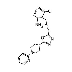 Nc1cccc(Cl)c1COCc1nnc(C2CCN(c3ccccn3)CC2)o1